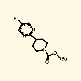 CC(C)(C)OC(=O)N1CCC(c2ncc(Br)cn2)CC1